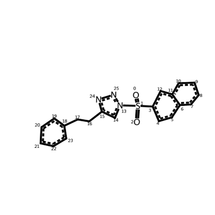 O=S(=O)(c1ccc2ccccc2c1)n1cc(CCc2ccccc2)nn1